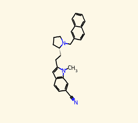 Cn1c(CC[C@@H]2CCCN2Cc2ccc3ccccc3c2)cc2ccc(C#N)cc21